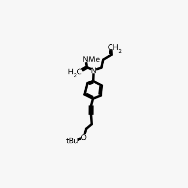 C=CCCN(C(=C)NC)c1ccc(C#CCCOC(C)(C)C)cc1